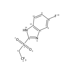 O=S(=O)(CC(F)(F)F)c1nc2cc(F)ccc2[nH]1